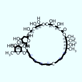 C[C@@H]1[C@H](O)[C@H](O[C@H]2/C=C/C=C/C=C/C=C/CC/C=C/C=C/[C@H](C)[C@@H](O)[C@@H](C)[C@H](C)OC(=O)C[C@H](O)C[C@H](O)CC[C@@H](O)[C@H](O)C[C@H](O)C[C@]3(O)C[C@H](O)[C@@H](C(=O)O)[C@H](C2)O3)O[C@H](C)[C@H]1O